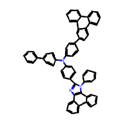 c1ccc(-c2ccc(N(c3ccc(-c4ccc5c6ccccc6c6ccccc6c5c4)cc3)c3ccc(-c4nc5c6ccccc6c6ccccc6c5n4-c4ccccc4)cc3)cc2)cc1